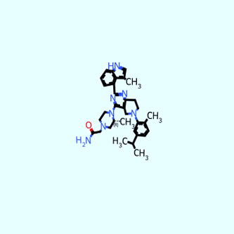 Cc1ccc(C(C)C)cc1N1CCc2nc(-c3cccc4[nH]cc(C)c34)nc(N3CCN(CC(N)=O)C[C@H]3C)c2C1